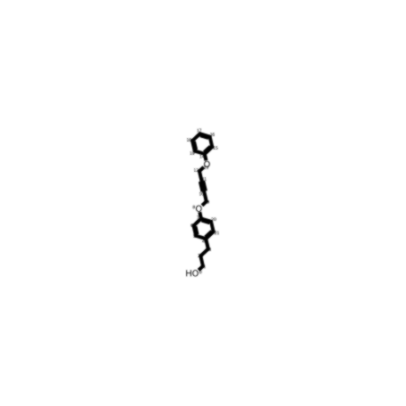 OCCCc1ccc(OCC#CCOc2ccccc2)cc1